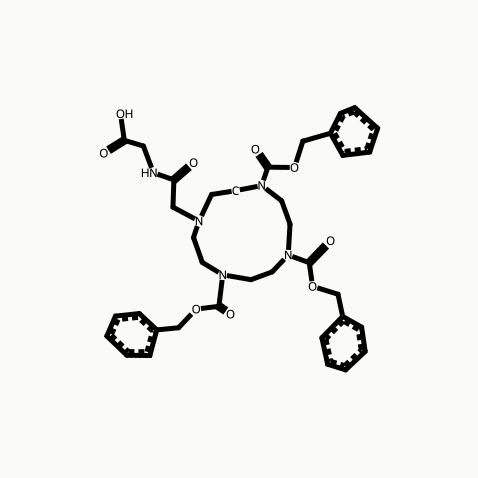 O=C(O)CNC(=O)CN1CCN(C(=O)OCc2ccccc2)CCN(C(=O)OCc2ccccc2)CCN(C(=O)OCc2ccccc2)CC1